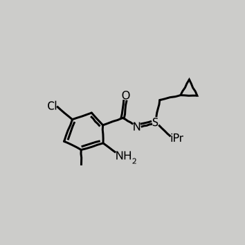 Cc1cc(Cl)cc(C(=O)N=S(CC2CC2)C(C)C)c1N